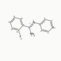 N/C(=N\c1ccncc1)c1ccccc1F